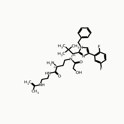 C=C(C)NCCNC(=O)[C@@H](N)CCN(C(=O)CO)[C@@H](c1nc(-c2cc(F)ccc2F)cn1Cc1ccccc1)C(C)(C)C